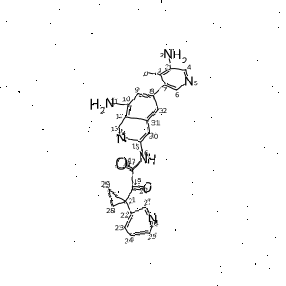 Cc1c(N)cncc1-c1cc(N)c2cnc(NC(=O)C(=O)C3(c4cccnc4)CC3)cc2c1